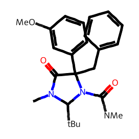 CNC(=O)N1C(C(C)(C)C)N(C)C(=O)C1(Cc1ccccc1)c1cccc(OC)c1